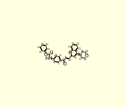 O=C(Nc1ccc(C(=O)/C=C/c2cc(N3CCOCC3)c3ccccc3n2)cc1)Oc1ccccc1